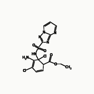 CCOC(=O)C1C=CC(Cl)=C(N)C1(Cl)NS(=O)(=O)c1nc2ncccn2n1